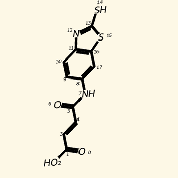 O=C(O)C=CC(=O)Nc1ccc2nc(S)sc2c1